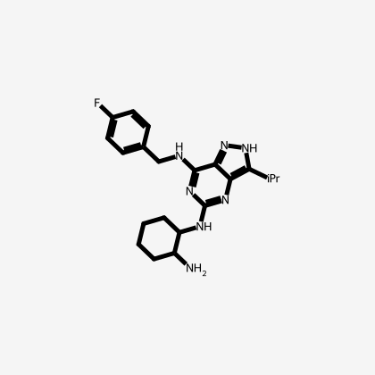 CC(C)c1[nH]nc2c(NCc3ccc(F)cc3)nc(NC3CCCCC3N)nc12